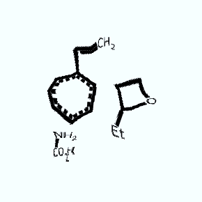 C=Cc1ccccc1.CCC1CCO1.NC(=O)O